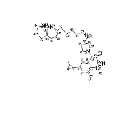 COc1c(F)cc(C2CC2)cc1C(C(=O)O)N1CC[C@@H](N(C)CCCCCc2ccc3c(n2)NCCC3)C1